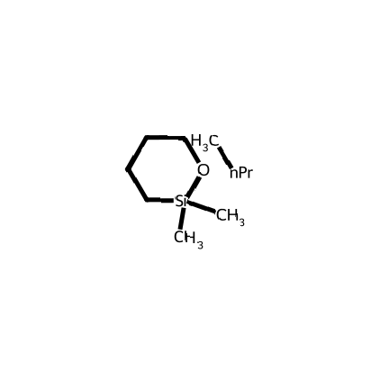 CCCC.C[Si]1(C)CCCCO1